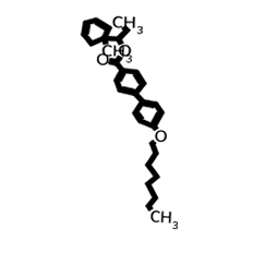 CCCCCCCCOc1ccc(-c2ccc(C(=O)OC(CC)C3(C)C=CC=CC3)cc2)cc1